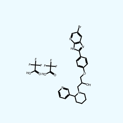 O=C(O)C(F)(F)F.O=C(O)C(F)(F)F.OC(COc1ccc(-c2nc3cc(Br)cnc3[nH]2)cc1)CN1CCCCC1c1cccnc1